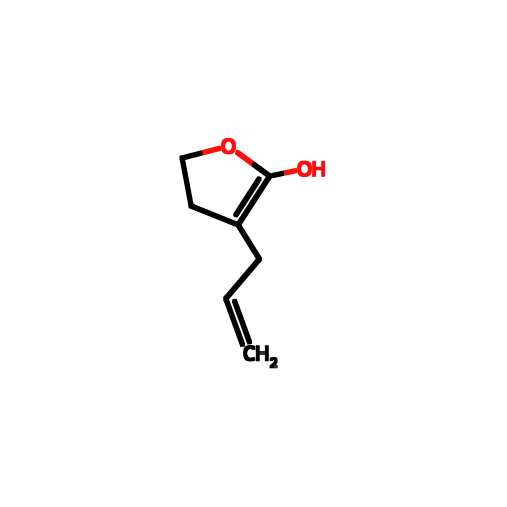 C=CCC1=C(O)OCC1